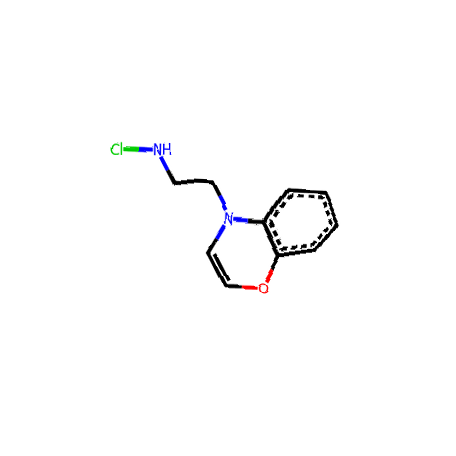 ClNCCN1C=COc2ccccc21